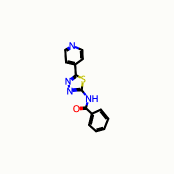 O=C(Nc1nnc(-c2ccncc2)s1)c1ccccc1